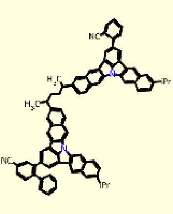 CC(C)c1ccc2cc3c(cc2c1)c1cc(-c2ccccc2C#N)cc2c4cc5cc(C(C)CCC(C)c6ccc7cc8c(cc7c6)c6cc(-c7cc(C#N)ccc7-c7ccccc7)cc7c9cc%10cc(C(C)C)ccc%10cc9n8c76)ccc5cc4n3c12